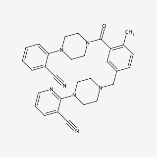 Cc1ccc(CN2CCN(c3ncccc3C#N)CC2)cc1C(=O)N1CCN(c2ccccc2C#N)CC1